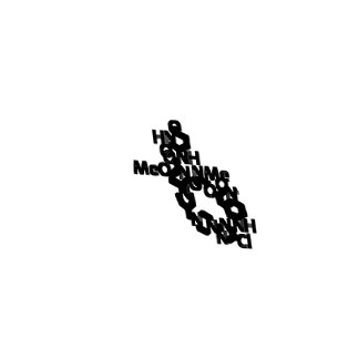 CNC(=O)COc1cc2cc(Nc3nc(N4CCN(CC5CCN(c6cnc(C(=O)NC7CCC(=O)NC7=O)c(OC)c6)CC5)CC4)ncc3Cl)ccc2n(C)c1=O